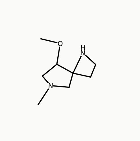 COC1CN(C)CC12CCN2